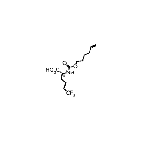 C=CCCCCOC(=O)N[C@@H](CCCC(F)(F)F)C(=O)O